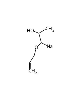 C=CCO[CH]([Na])C(C)O